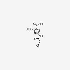 Cc1nc(NC(=O)CC2CC2)sc1C(=O)O